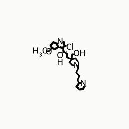 COc1ccc2ncc(Cl)c([C@H](O)CCC3(CO)CCN(CCCCc4ccccn4)CC3)c2c1